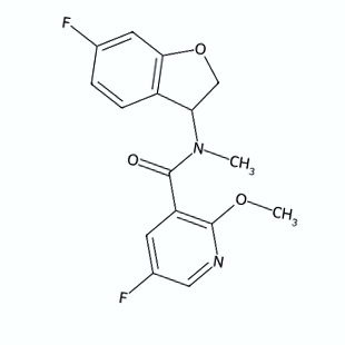 COc1ncc(F)cc1C(=O)N(C)C1COc2cc(F)ccc21